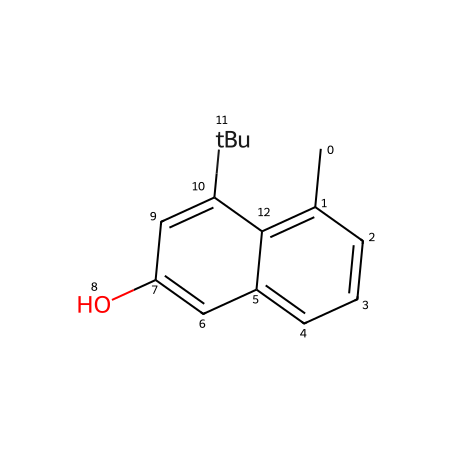 Cc1cccc2cc(O)cc(C(C)(C)C)c12